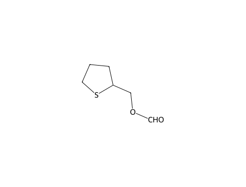 O=COCC1CCCS1